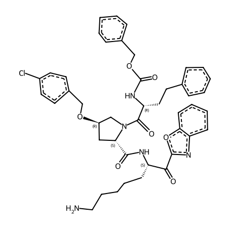 NCCCCC[C@H](NC(=O)[C@@H]1C[C@@H](OCc2ccc(Cl)cc2)CN1C(=O)[C@@H](CCc1ccccc1)NC(=O)OCc1ccccc1)C(=O)c1nc2ccccc2o1